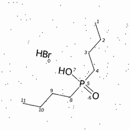 Br.CCCCP(=O)(O)CCCC